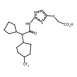 O=C(O)CSc1cnc(NC(=O)N(C2CCCC2)C2CCC(C(F)(F)F)CC2)s1